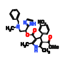 COC(=O)C1=C(C)NC(C)=C(C(=O)OC(CN(C)Cc2ccccc2)c2ncc[nH]2)C1c1cccc([N+](=O)[O-])c1